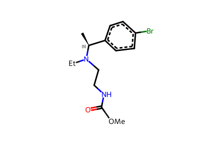 CCN(CCNC(=O)OC)[C@@H](C)c1ccc(Br)cc1